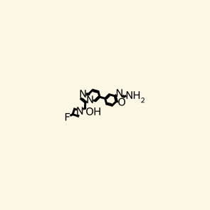 Nc1nc2cc(-c3ccc4ncc(C(O)N5CC(F)C5)n4c3)ccc2o1